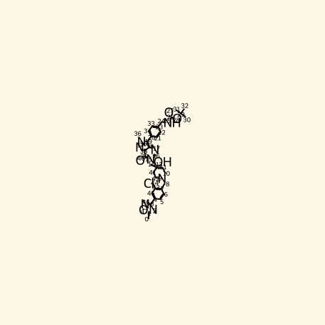 Cc1nc(-c2ccc(CN3CCC(O)(Cn4cnc5c(-c6ccc(CNC(=O)OC(C)(C)C)cc6)n(C)nc5c4=O)CC3)c(Cl)c2)no1